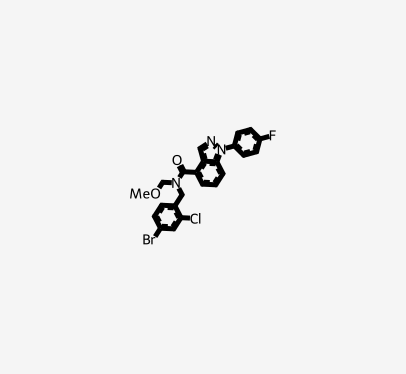 COCN(Cc1ccc(Br)cc1Cl)C(=O)c1cccc2c1cnn2-c1ccc(F)cc1